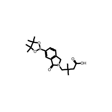 CC(C)(CC(=O)O)CN1Cc2ccc(B3OC(C)(C)C(C)(C)O3)cc2C1=O